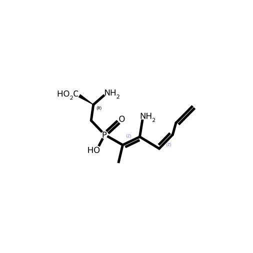 C=C/C=C\C(N)=C(/C)P(=O)(O)C[C@H](N)C(=O)O